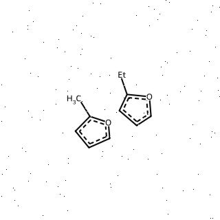 CCc1ccco1.Cc1ccco1